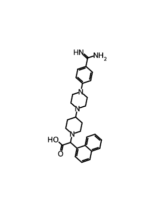 N=C(N)c1ccc(N2CCN(C3CCN(C(C(=O)O)c4cccc5ccccc45)CC3)CC2)cc1